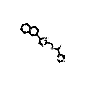 O=C(NCc1ncc(-c2ccc3ccccc3c2)[nH]1)c1cncs1